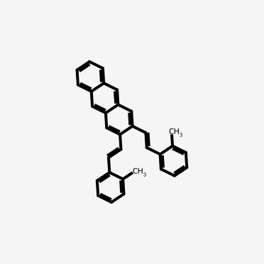 Cc1ccccc1/C=C/c1cc2cc3ccccc3cc2cc1/C=C/c1ccccc1C